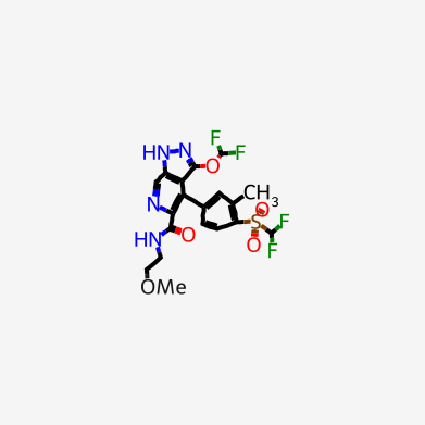 COCCNC(=O)c1ncc2[nH]nc(OC(F)F)c2c1-c1ccc(S(=O)(=O)C(F)F)c(C)c1